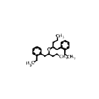 CCCC(Cc1ccccc1CC)OC(CCC)Cc1ccccc1CC